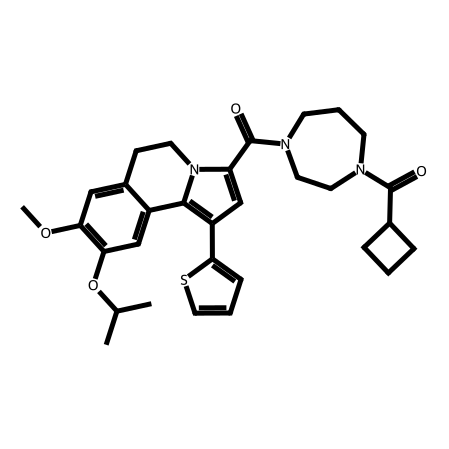 COc1cc2c(cc1OC(C)C)-c1c(-c3cccs3)cc(C(=O)N3CCCN(C(=O)C4CCC4)CC3)n1CC2